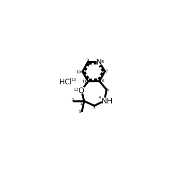 CC1(C)CNCc2cnccc2O1.Cl